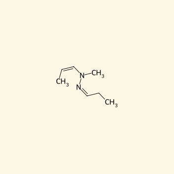 C/C=C\N(C)/N=C\CC